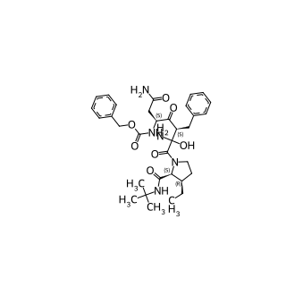 CC[C@@H]1CCN(C(=O)C(N)(O)[C@H](Cc2ccccc2)C(=O)[C@H](CC(N)=O)NC(=O)OCc2ccccc2)[C@@H]1C(=O)NC(C)(C)C